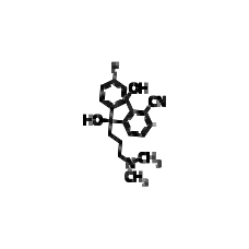 CN(C)CCC[C@](O)(c1ccc(F)cc1)c1cc[c]c(C#N)c1CO